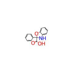 O=C(O)C1(c2ccccc2)Nc2ccccc2O1